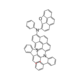 c1ccc(-c2ccccc2N(c2ccc3ccc4c(N(c5ccccc5)c5ccc6ccc7cccc8oc5c6c78)ccc5ccc2c3c54)c2cccc3c2sc2ccccc23)cc1